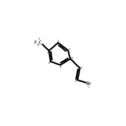 FC(F)(F)c1ccc(C=CBr)cc1